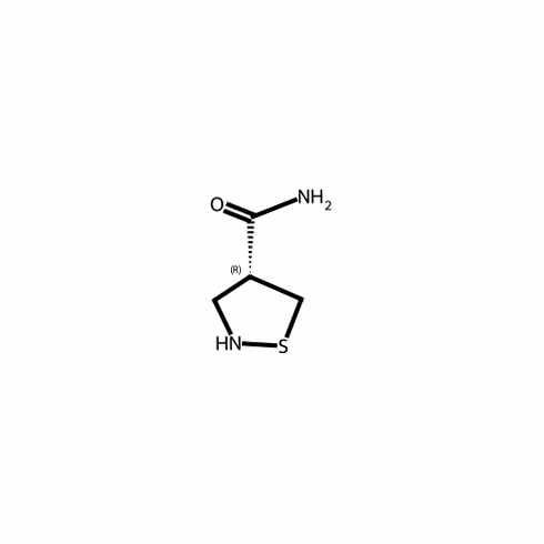 NC(=O)[C@H]1CNSC1